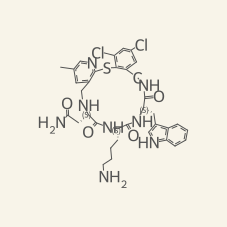 Cc1cnc2c(c1)CN[C@@H](CC(N)=O)C(=O)N[C@@H](CCCCN)C(=O)N[C@@H](Cc1c[nH]c3ccccc13)C(=O)NCc1cc(Cl)cc(Cl)c1S2